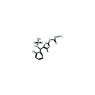 Cc1nc(OC(=O)NN)sc1C(NS(=O)(=O)C(C)(C)C)c1ccccc1Cl